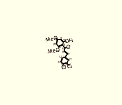 COc1cc(O)c(C(=O)C=Cc2ccc(Cl)c(Cl)c2)c(OC)c1